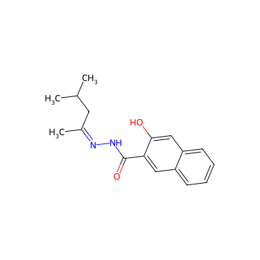 CC(CC(C)C)=NNC(=O)c1cc2ccccc2cc1O